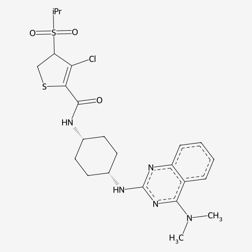 CC(C)S(=O)(=O)C1CSC(C(=O)N[C@H]2CC[C@@H](Nc3nc(N(C)C)c4ccccc4n3)CC2)=C1Cl